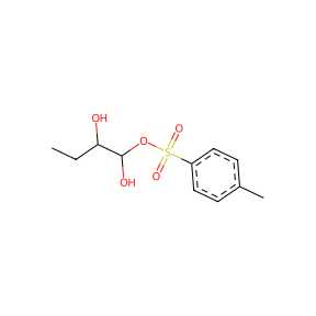 CCC(O)C(O)OS(=O)(=O)c1ccc(C)cc1